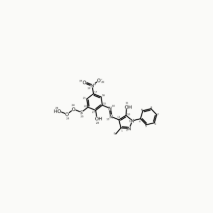 Cc1nn(-c2ccccc2)c(O)c1N=Nc1cc([N+](=O)[O-])cc(SOOO)c1O